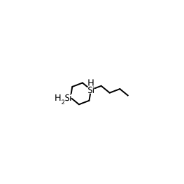 CCCC[SiH]1CC[SiH2]CC1